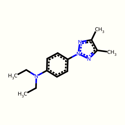 CCN(CC)c1ccc(-n2nc(C)c(C)n2)cc1